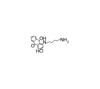 Cl.NCCCCCCNc1cccc2c1C(=O)c1ccccc1C2=O